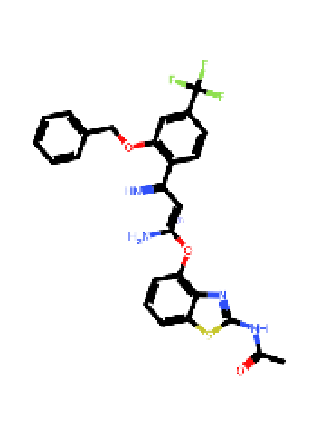 CC(=O)Nc1nc2c(O/C(N)=C/C(=N)c3ccc(C(F)(F)F)cc3OCc3ccccc3)cccc2s1